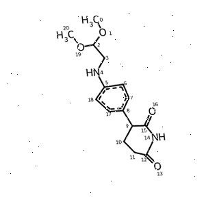 COC(CNc1ccc(C2CCC(=O)NC2=O)cc1)OC